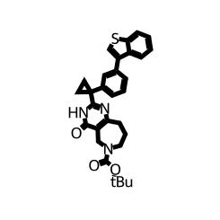 CC(C)(C)OC(=O)N1CCCc2nc(C3(c4cccc(-c5csc6ccccc56)c4)CC3)[nH]c(=O)c2C1